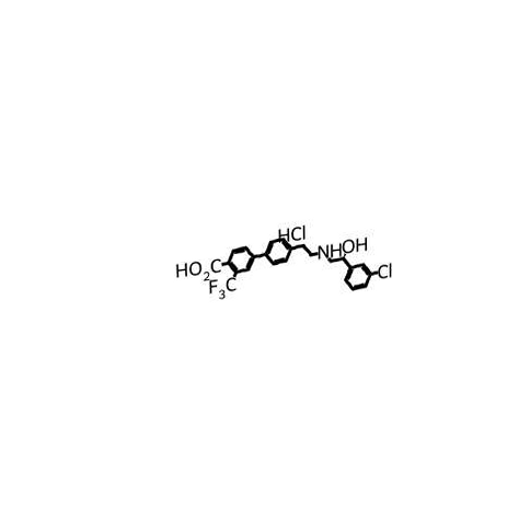 Cl.O=C(O)c1ccc(-c2ccc(CCNC[C@H](O)c3cccc(Cl)c3)cc2)cc1C(F)(F)F